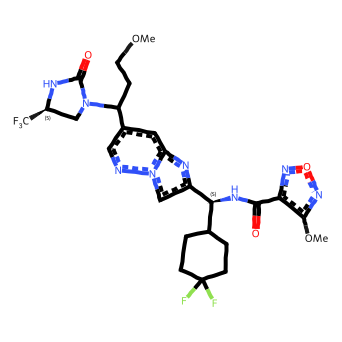 COCCC(c1cnn2cc([C@@H](NC(=O)c3nonc3OC)C3CCC(F)(F)CC3)nc2c1)N1C[C@@H](C(F)(F)F)NC1=O